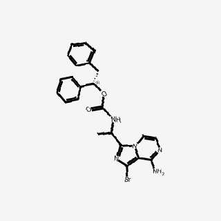 CC(NC(=O)O[C@@H](Cc1ccccc1)c1ccccc1)c1nc(Br)c2c(N)nccn12